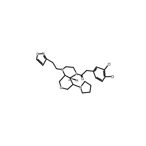 O=C(Cc1ccc(Cl)c(Cl)c1)N1CCN(CCc2ccon2)C2COCC(N3CCCC3)[C@H]21